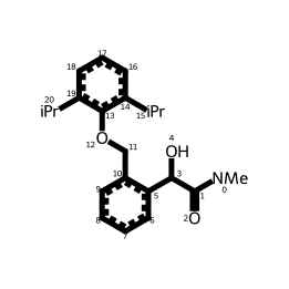 CNC(=O)C(O)c1ccccc1COc1c(C(C)C)cccc1C(C)C